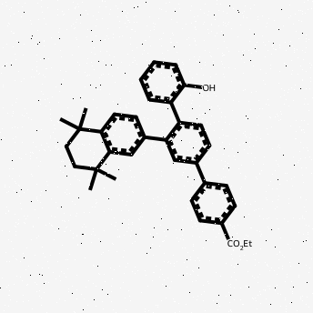 CCOC(=O)c1ccc(-c2ccc(-c3ccccc3O)c(-c3ccc4c(c3)C(C)(C)CCC4(C)C)c2)cc1